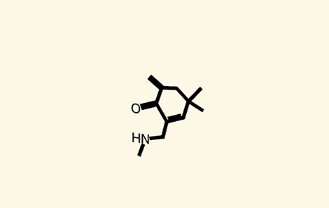 C=C1CC(C)(C)C=C(CNC)C1=O